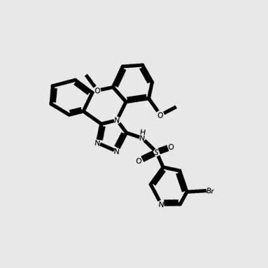 COc1cccc(OC)c1-n1c(NS(=O)(=O)c2cncc(Br)c2)nnc1-c1ccccc1